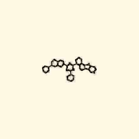 c1ccc(-c2ccc3ccc(-c4nc(-c5ccccc5)nc(-c5cccc6c5ccc5c7cnccc7sc65)n4)cc3c2)cc1